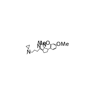 COc1ccc(C2CCc3c(CCCN(C)C4CC4)nc(C)nc32)c(OC)c1